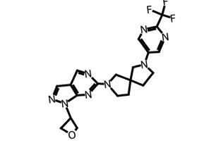 FC(F)(F)c1ncc(N2CCC3(CCN(c4ncc5cnn(C6COC6)c5n4)C3)C2)cn1